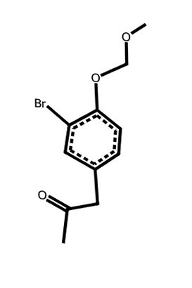 COCOc1ccc(CC(C)=O)cc1Br